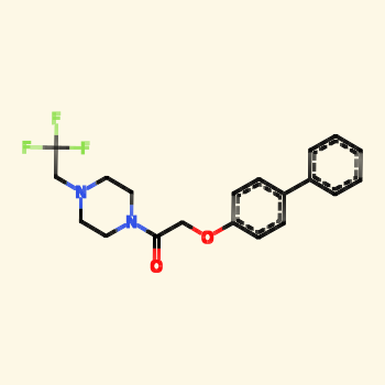 O=C(COc1ccc(-c2ccccc2)cc1)N1CCN(CC(F)(F)F)CC1